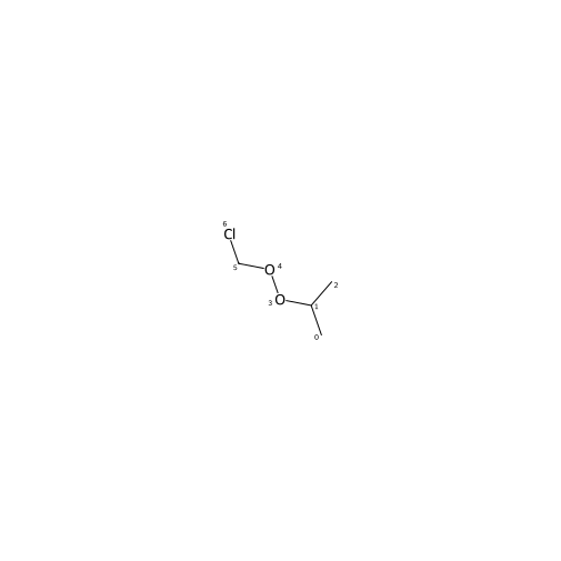 CC(C)OOCCl